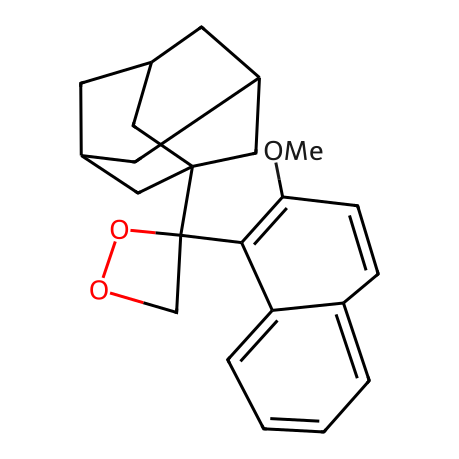 COc1ccc2ccccc2c1C1(C23CC4CC(CC(C4)C2)C3)COO1